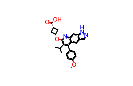 COc1ccc(-c2c(C(C)C)c(O[C@H]3C[C@@H](C(=O)O)C3)nc3cc4[nH]ncc4cc23)cc1